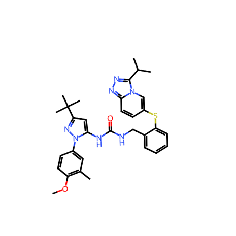 COc1ccc(-n2nc(C(C)(C)C)cc2NC(=O)NCc2ccccc2Sc2ccc3nnc(C(C)C)n3c2)cc1C